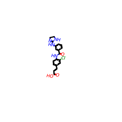 O=C(O)C=Cc1ccc(NC(=O)c2cccc(NC3=NCCN3)c2)c(Cl)c1